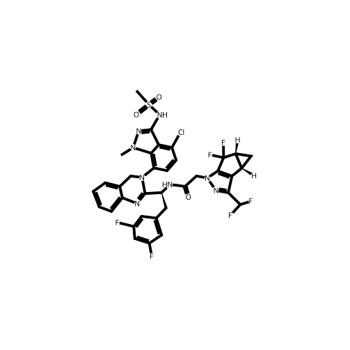 Cn1nc(NS(C)(=O)=O)c2c(Cl)ccc(N3Cc4ccccc4N=C3[C@H](Cc3cc(F)cc(F)c3)NC(=O)Cn3nc(C(F)F)c4c3C(F)(F)[C@@H]3C[C@H]43)c21